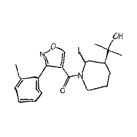 Cc1ccccc1-c1nocc1C(=O)N1CCC[C@H](C(C)(C)O)C1I